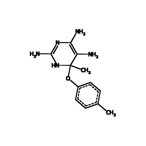 Cc1ccc(OC2(C)NC(N)=NC(N)=C2N)cc1